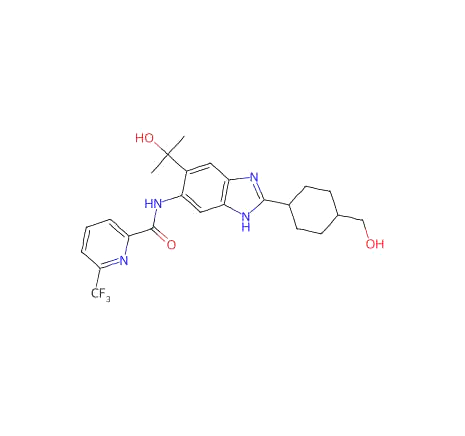 CC(C)(O)c1cc2nc(C3CCC(CO)CC3)[nH]c2cc1NC(=O)c1cccc(C(F)(F)F)n1